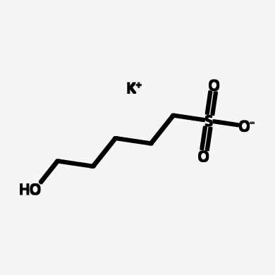 O=S(=O)([O-])CCCCCO.[K+]